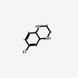 CCC1=CC2NCCNC2C=C1